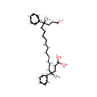 CC(CCC=O)(CCCCCCCCCCCC(C)(CCC(O)O)c1ccccc1)c1ccccc1